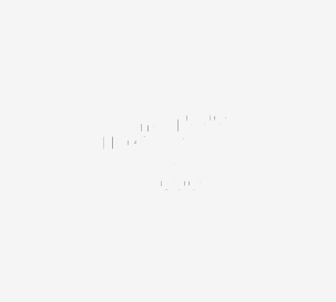 O=C([O-])CC(C(=O)[O-])S(=O)(=O)O.[SnH2+2]